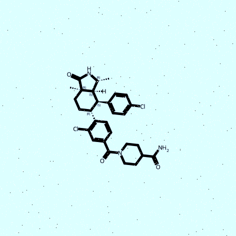 C[C@H]1NC(=O)[C@]2(C)CC[C@@H](c3ccc(C(=O)N4CCC(C(N)=O)CC4)cc3Cl)[C@H](c3ccc(Cl)cc3)[C@H]12